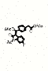 COC(=O)Cc1ccc(C(OC)=C2C(=O)N(C(C)=O)c3cc(F)ccc32)cc1